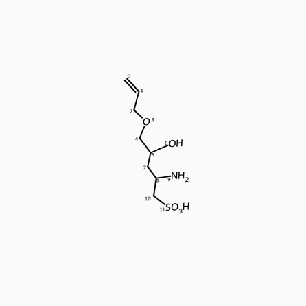 C=CCOCC(O)CC(N)CS(=O)(=O)O